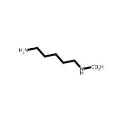 NCCCCCNC(=O)O